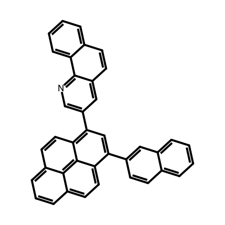 c1ccc2cc(-c3cc(-c4cnc5c(ccc6ccccc65)c4)c4ccc5cccc6ccc3c4c65)ccc2c1